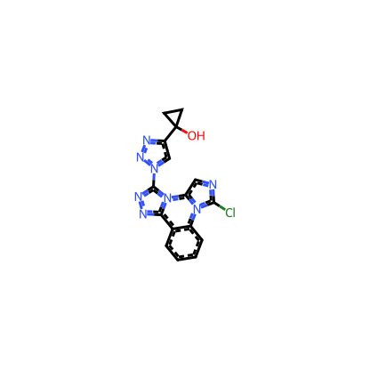 OC1(c2cn(-c3nnc4c5ccccc5n5c(Cl)ncc5n34)nn2)CC1